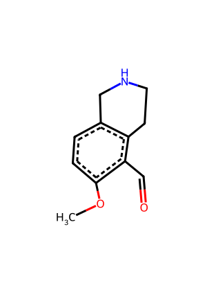 COc1ccc2c(c1C=O)CCNC2